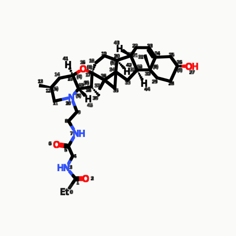 CCC(=O)NCC(=O)NCCN1C[C@@H](C)C[C@H]2O[C@]3(CC[C@H]4[C@@H]5CC=C6C[C@@H](O)CC[C@]6(C)[C@H]5CC45CC53C)[C@H](C)[C@@H]21